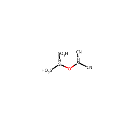 N#C[SiH](C#N)O[SiH](S(=O)(=O)O)S(=O)(=O)O